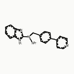 CCCN(Cc1ccc(-c2ccncc2)cc1)c1nc2ccccc2[nH]1